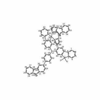 CC1(C)c2ccccc2-c2ccc(C(c3ccc(-c4ccc5sc6ccccc6c5c4)cc3)c3ccc4c(c3)C3(c5ccccc5-4)c4ccccc4-n4c5ccccc5c5cccc3c54)cc21